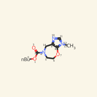 CCCCOC(=O)N1CCOc2c(ncn2C)C1